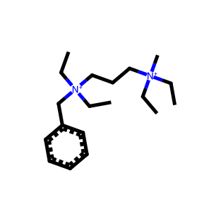 CC[N+](C)(CC)CCC[N+](CC)(CC)Cc1ccccc1